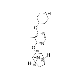 Cc1c(OC2CCNCC2)ncnc1O[C@@H]1C[C@H]2CC[C@@H](C1)N2